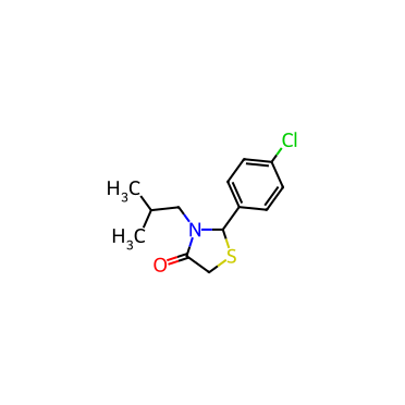 CC(C)CN1C(=O)CSC1c1ccc(Cl)cc1